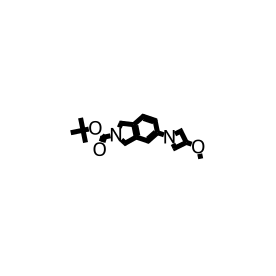 COC1CN(c2ccc3c(c2)CN(C(=O)OC(C)(C)C)C3)C1